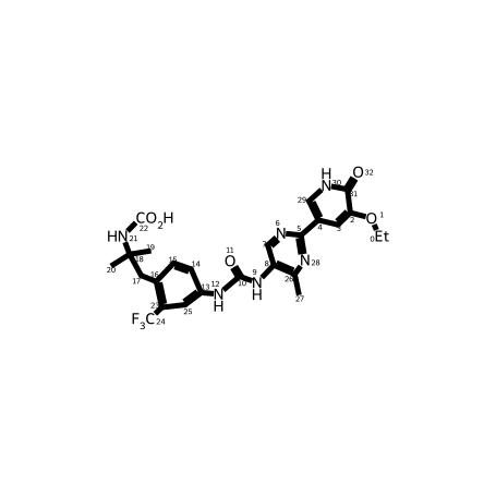 CCOc1cc(-c2ncc(NC(=O)Nc3ccc(CC(C)(C)NC(=O)O)c(C(F)(F)F)c3)c(C)n2)c[nH]c1=O